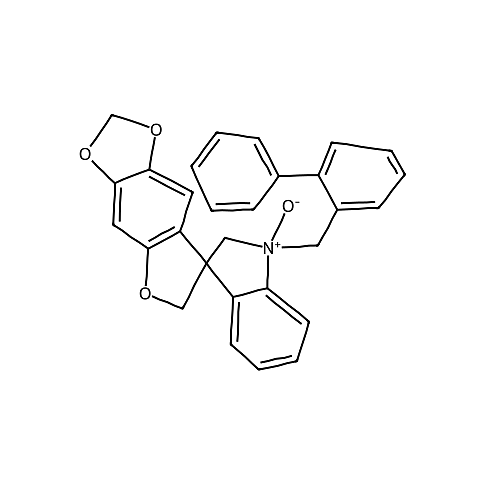 [O-][N+]1(Cc2ccccc2-c2ccccc2)CC2(COc3cc4c(cc32)OCO4)c2ccccc21